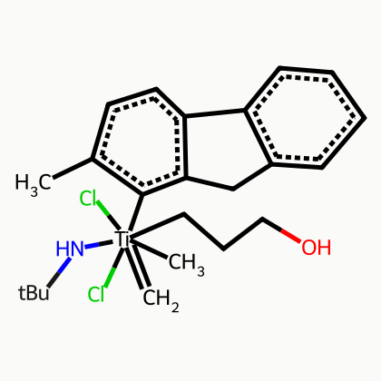 [CH2]=[Ti]([CH3])([Cl])([Cl])([CH2]CCO)([NH]C(C)(C)C)[c]1c(C)ccc2c1Cc1ccccc1-2